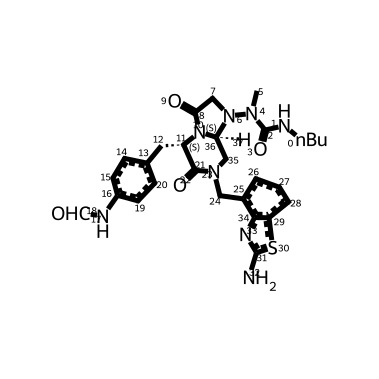 CCCCNC(=O)N(C)N1CC(=O)N2[C@@H](Cc3ccc(NC=O)cc3)C(=O)N(Cc3cccc4sc(N)nc34)C[C@@H]21